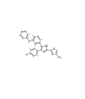 Cc1csc(-c2nc(-c3ccc(F)cc3)c(-c3ccnc(Oc4ccccc4)n3)[nH]2)c1